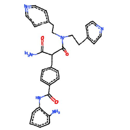 NC(=O)C(C(=O)N(CCc1ccncc1)CCc1ccncc1)c1ccc(C(=O)Nc2ccccc2N)cc1